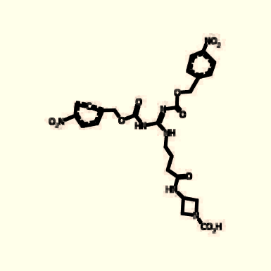 O=C(CCCN/C(=N\C(=O)OCc1ccc([N+](=O)[O-])cc1)NC(=O)OCc1ccc([N+](=O)[O-])cc1)NC1CN(C(=O)O)C1